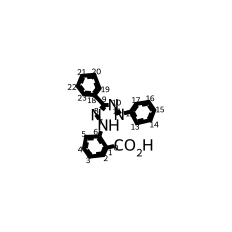 O=C(O)c1ccccc1NN=C(N=Nc1ccccc1)c1ccccc1